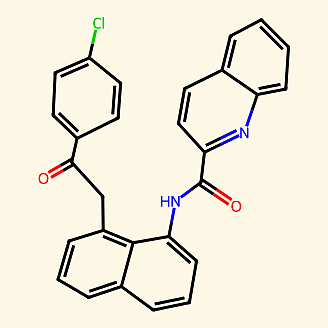 O=C(Cc1cccc2cccc(NC(=O)c3ccc4ccccc4n3)c12)c1ccc(Cl)cc1